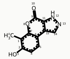 Cc1c(O)ccc2c1oc(=O)c1[nH]ncc12